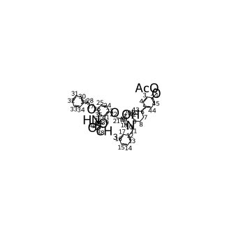 CC(=O)OOc1ccc(C2CCC(N(Cc3ccccc3)C[C@H](O)COc3ccc(OCc4ccccc4)c(NS(C)(=O)=O)c3)CC2)cc1